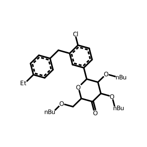 CCCCOCC1OC(c2ccc(Cl)c(Cc3ccc(CC)cc3)c2)C(OCCCC)C(OCCCC)C1=O